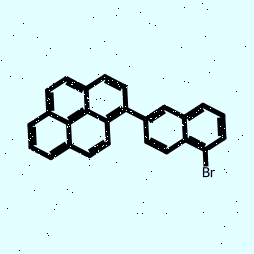 Brc1cccc2cc(-c3ccc4ccc5cccc6ccc3c4c56)ccc12